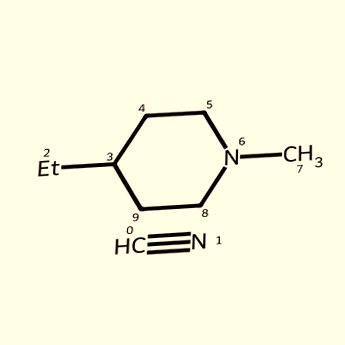 C#N.CCC1CCN(C)CC1